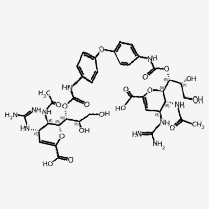 CC(=O)N[C@H]1[C@H]([C@H](OC(=O)Nc2ccc(Oc3ccc(NC(=O)O[C@@H]([C@@H]4OC(C(=O)O)=C[C@H](NC(=N)N)[C@H]4NC(C)=O)[C@H](O)CO)cc3)cc2)[C@H](O)CO)OC(C(=O)O)=C[C@@H]1NC(=N)N